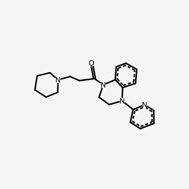 O=C(CCN1CCCCC1)N1CCN(c2ccccn2)c2ccccc21